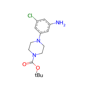 CC(C)(C)OC(=O)N1CCN(c2cc(N)cc(Cl)c2)CC1